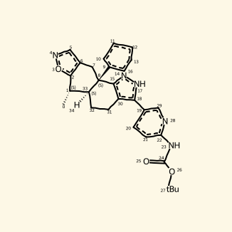 C[C@@H]1c2oncc2C[C@]2(c3ccccc3)c3n[nH]c(-c4ccc(NC(=O)OC(C)(C)C)nc4)c3CC[C@@H]12